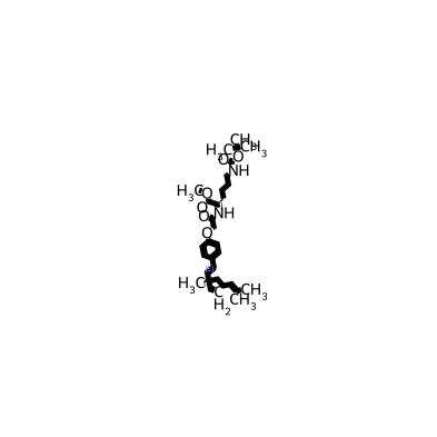 C=C[C@@](C)(/C=C/c1ccc(OCC(=O)N[C@@H](CCCCNC(=O)OC(C)(C)C)C(=O)OC)cc1)CCC=C(C)C